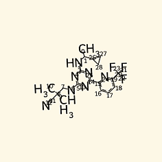 CC(Nc1nc(NCC(C)(C)C#N)nc(-c2cccc(C(F)(F)F)n2)n1)C1CC1